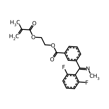 C=C(C)C(=O)OCCOC(=O)c1cccc(/C(=N/C)c2c(F)cccc2F)c1